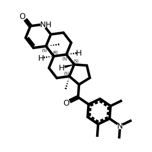 Cc1cc(C(=O)C2CC[C@H]3[C@@H]4CCC5NC(=O)C=C[C@]5(C)[C@@H]4CC[C@]23C)cc(C)c1N(C)C